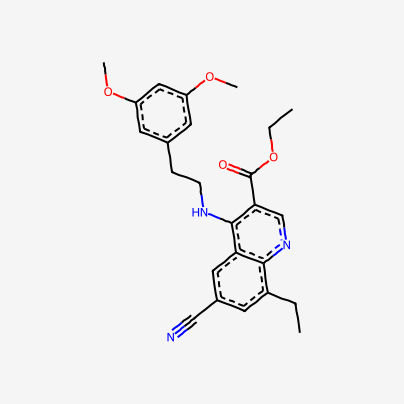 CCOC(=O)c1cnc2c(CC)cc(C#N)cc2c1NCCc1cc(OC)cc(OC)c1